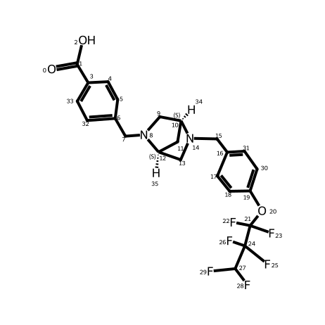 O=C(O)c1ccc(CN2C[C@@H]3C[C@H]2CN3Cc2ccc(OC(F)(F)C(F)(F)C(F)F)cc2)cc1